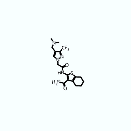 CN(C)Cc1cn(CC(=O)Nc2sc3c(c2C(N)=O)CCCC3)nc1C(F)(F)F